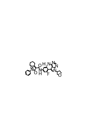 Nc1ncnc2c1c(-c1ccc(NC(=O)c3c4n(n(-c5ccccc5)c3=O)CCCC4)cc1F)cn2C1CCOC1